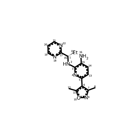 CC[C@H](Nc1nc(-c2c(C)noc2C)ccc1N)c1ncccn1